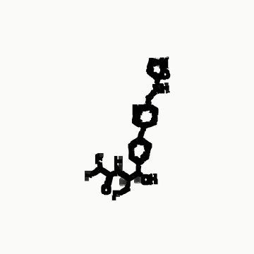 O=C(N[C@H](CF)[C@H](O)c1ccc(-c2ccc(CNc3ccno3)nc2)cc1)C(F)F